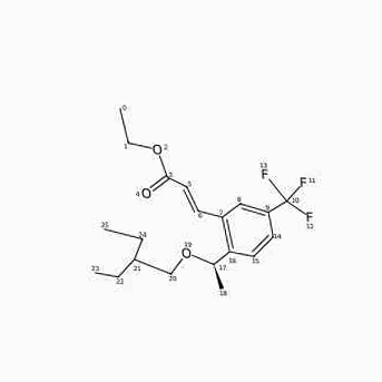 CCOC(=O)/C=C/c1cc(C(F)(F)F)ccc1[C@@H](C)OCC(CC)CC